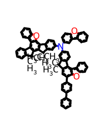 CC1(C)c2cc(N(c3ccc4c(c3)C(C)(C)c3c5c(c6c(oc7ccccc76)c3-4)-c3ccccc3C5(C)C)c3ccc4oc5ccccc5c4c3)ccc2-c2c1cc(-c1ccc(-c3ccccc3)cc1)c1oc3ccccc3c21